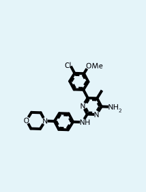 COc1cc(-c2nc(Nc3ccc(N4CCOCC4)cc3)nc(N)c2C)ccc1Cl